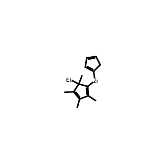 CCC1(C)C(C)=C(C)C(C)=[C]1[Zr][C]1=CC=CC1